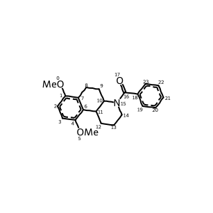 COc1ccc(OC)c2c1CCC1C2CCCN1C(=O)c1ccccc1